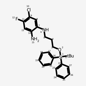 CC(C)(C)[Si](OCCCNc1cc(Cl)c(F)cc1N)(c1ccccc1)c1ccccc1